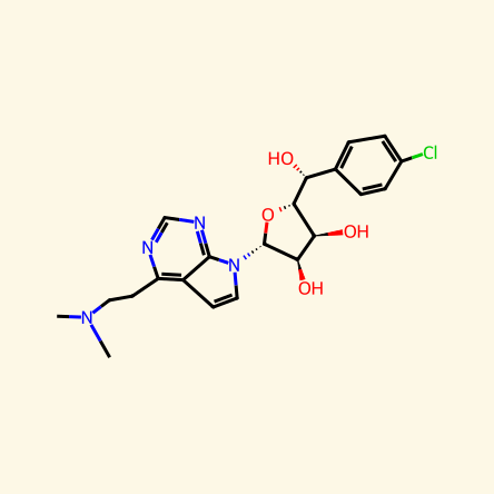 CN(C)CCc1ncnc2c1ccn2[C@@H]1O[C@H]([C@H](O)c2ccc(Cl)cc2)[C@@H](O)[C@H]1O